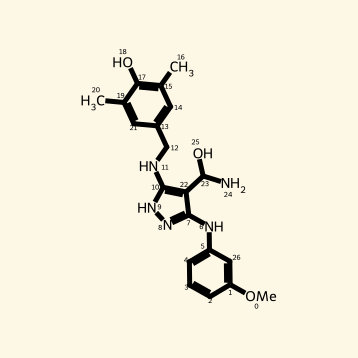 COc1cccc(Nc2n[nH]c(NCc3cc(C)c(O)c(C)c3)c2C(N)O)c1